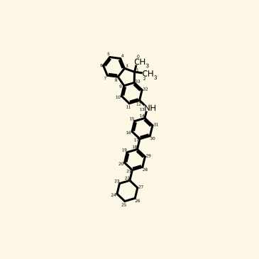 CC1(C)c2ccccc2-c2ccc(Nc3ccc(-c4ccc(C5CCCCC5)cc4)cc3)cc21